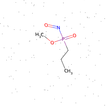 CCCP(=O)(N=O)OC